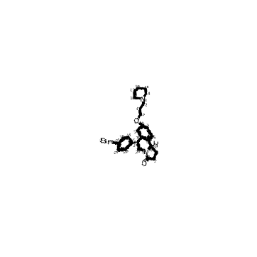 O=C1CC[C@@H]2c3ccc(OCCCN4CCCCC4)cc3[C@H](c3ccc(Br)cc3)CN12